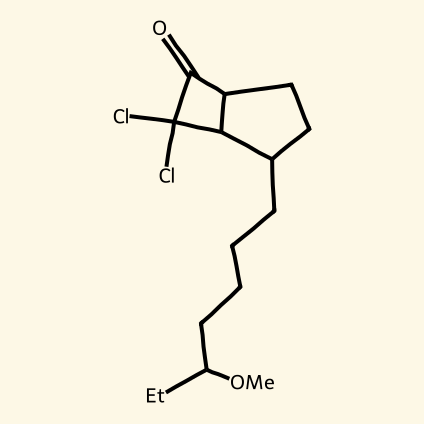 CCC(CCCCC1CCC2C(=O)C(Cl)(Cl)C12)OC